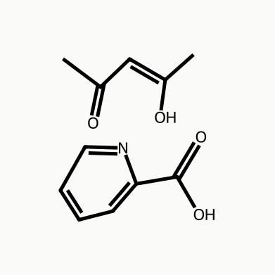 CC(=O)/C=C(/C)O.O=C(O)c1ccccn1